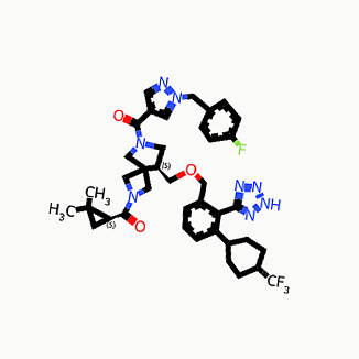 CC1(C)C[C@@H]1C(=O)N1CC2(CN(C(=O)c3cnn(Cc4ccc(F)cc4)c3)C[C@H]2COCc2cccc(C3CCC(C(F)(F)F)CC3)c2-c2nn[nH]n2)C1